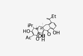 C=C(CC)c1ccc(O)c2c1C[C@]1(C)C[C@]3(C)C(C(C)C)C(O)=C(C(C)=O)C(=O)[C@]3(O)C(O)=C1C2=O